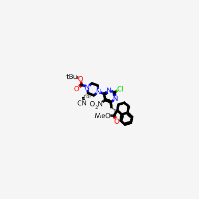 COC(=O)[C@@]1(Cc2nc(Cl)nc(N3CCN(C(=O)OC(C)(C)C)[C@@H](CC#N)C3)c2[N+](=O)[O-])CCCc2ccccc21